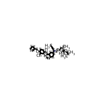 CC#C/C(=N\OCCN(C)C(=O)OC(C)(C)CC)c1ccc2ncnc(Nc3ccc(OCc4cccnc4)c(Cl)c3)c2c1